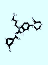 O=C(/N=c1\[nH]c2cc(N3CCOCC3=O)ccc2n1CCCO)c1cccc(Cl)c1